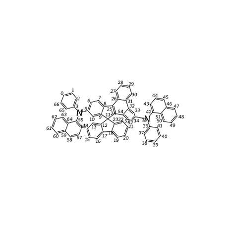 c1ccc(N(c2ccc3c(c2)C2(c4ccccc4-c4ccccc42)c2c-3c3ccccc3c3cc(N(c4ccccc4)c4cccc5ccccc45)ccc23)c2cccc3ccccc23)cc1